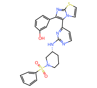 O=S(=O)(c1ccccc1)N1CCC[C@@H](Nc2nccc(-c3c(-c4cccc(O)c4)nc4sccn34)n2)C1